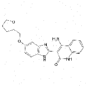 Nc1c(-c2nc3cc(OCC4CCCO4)ccc3[nH]2)c(=O)[nH]c2ccccc12